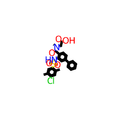 Cc1cc(S(=O)(=O)Nc2cc(-c3ccccc3)ccc2C(=O)N(C)CC(=O)O)c(C)cc1Cl